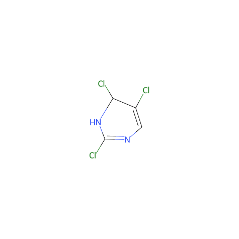 ClC1=CN=C(Cl)NC1Cl